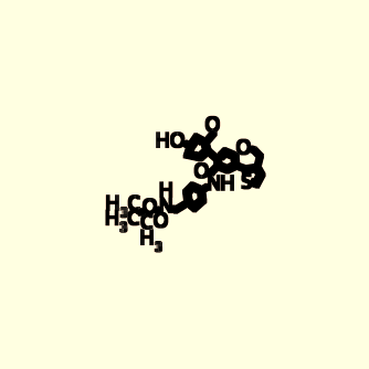 CC(C)(C)OC(=O)NCc1ccc(NC(=O)c2cc3c(cc2-c2ccc(O)cc2C=O)OCCc2ccsc2-3)cc1